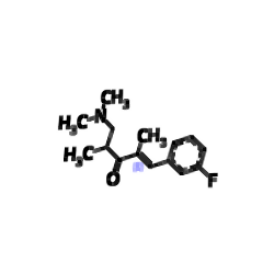 C/C(=C\c1cccc(F)c1)C(=O)C(C)CN(C)C